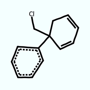 ClCC1(c2ccccc2)C=CC=CC1